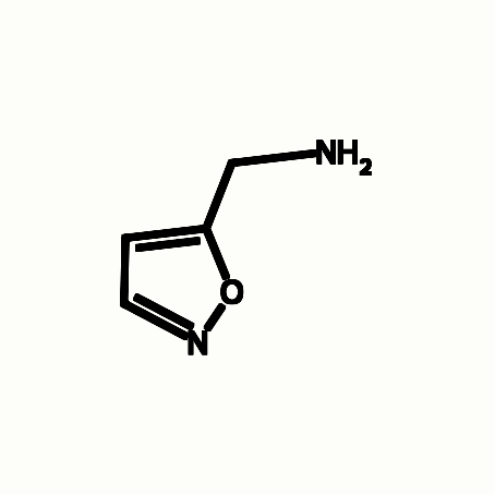 NCc1ccno1